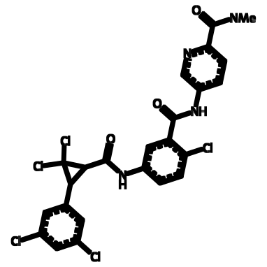 CNC(=O)c1ccc(NC(=O)c2cc(NC(=O)C3C(c4cc(Cl)cc(Cl)c4)C3(Cl)Cl)ccc2Cl)cn1